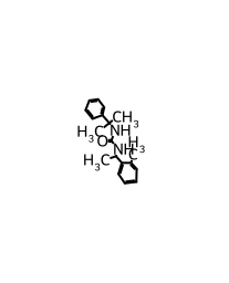 Cc1ccccc1C(C)NC(=O)NC(C)(C)c1ccccc1